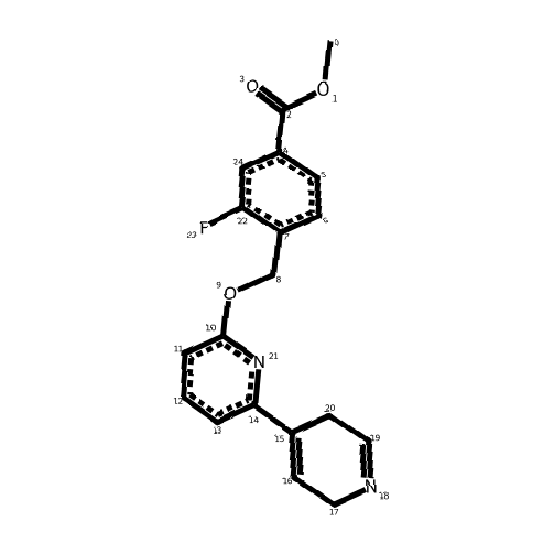 COC(=O)c1ccc(COc2cccc(C3=CCN=CC3)n2)c(F)c1